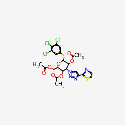 CC(=O)OCC1OC(Sc2cc(Cl)c(Cl)c(Cl)c2)C(OC(C)=O)C(n2cc(-c3nccs3)nn2)C1OC(C)=O